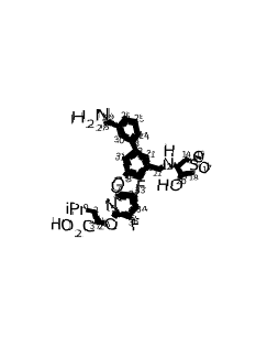 CC(C)C[C@@H](Oc1nc(Oc2cc(CNC3CS(=O)(=O)CC3O)cc(-c3cccc(CN)c3)c2)c(F)cc1F)C(=O)O